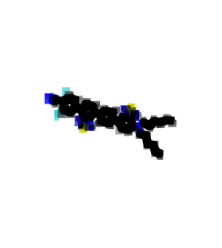 CCCCCCN(CCCCCC)c1ccc(-c2ccc(-c3ccc(-c4cc(F)c(C#N)c(F)c4)c4nsnc34)cc2)c2nsnc12